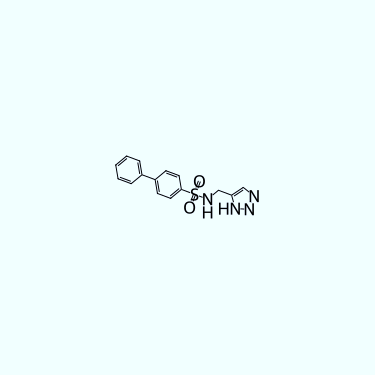 O=S(=O)(NCc1cnn[nH]1)c1ccc(-c2ccccc2)cc1